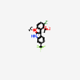 COc1ccc(Cl)cc1[C@]1(CC(=O)O)C(=O)Nc2cc(C(F)(F)F)ccc21